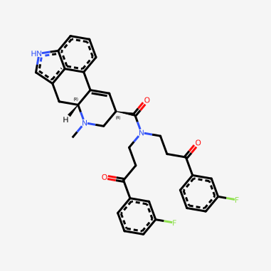 CN1C[C@H](C(=O)N(CCC(=O)c2cccc(F)c2)CCC(=O)c2cccc(F)c2)C=C2c3cccc4[nH]cc(c34)C[C@H]21